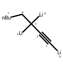 [Li][C]#C[C]([Li])([Li])CCCCC